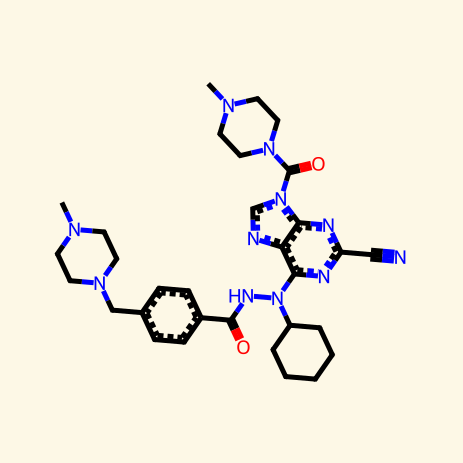 CN1CCN(Cc2ccc(C(=O)NN(c3nc(C#N)nc4c3ncn4C(=O)N3CCN(C)CC3)C3CCCCC3)cc2)CC1